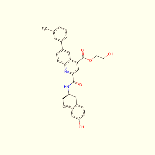 COC[C@H](Cc1ccc(O)cc1)NC(=O)c1cc(C(=O)OCCO)c2cc(-c3cccc(C(F)(F)F)c3)ccc2n1